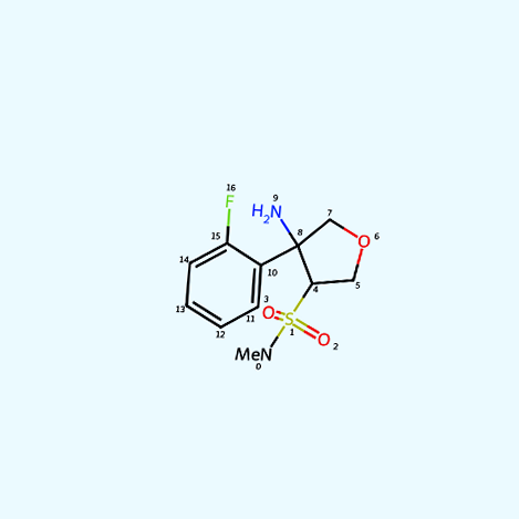 CNS(=O)(=O)C1COCC1(N)c1ccccc1F